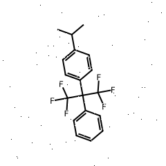 CC(C)c1ccc(C(c2ccccc2)(C(F)(F)F)C(F)(F)F)cc1